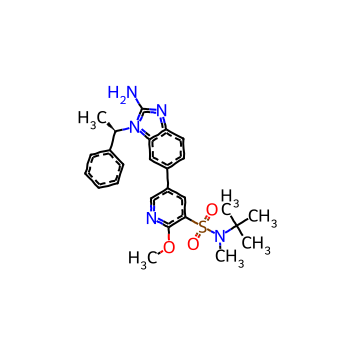 COc1ncc(-c2ccc3nc(N)n([C@H](C)c4ccccc4)c3c2)cc1S(=O)(=O)N(C)C(C)(C)C